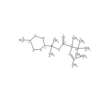 CC(C)=CC(C)(C(=O)CC(C)(C)C1CCC(C)CC1)C(C)(C)C